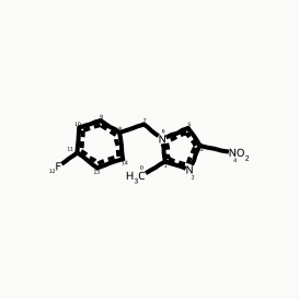 Cc1nc([N+](=O)[O-])cn1Cc1ccc(F)cc1